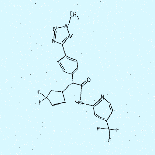 Cn1nnc(-c2ccc(C(C(=O)Nc3cc(C(F)(F)F)ccn3)C3CCC(F)(F)C3)cc2)n1